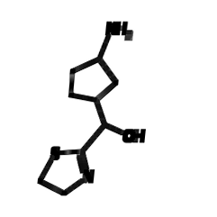 NC1CCC(C(O)C2=NCCS2)C1